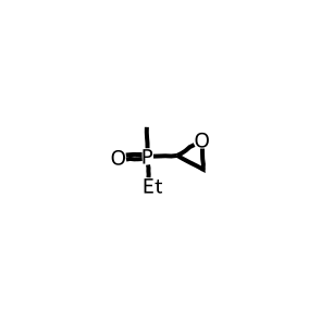 CCP(C)(=O)C1CO1